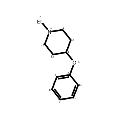 CCN1CCC(Oc2cc[c]cc2)CC1